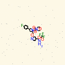 NC(OC(=O)C(F)(F)F)c1ccnc(OCC2CC(c3ccc(F)cc3)CN2S(=O)(=O)N2CCOCC2)c1